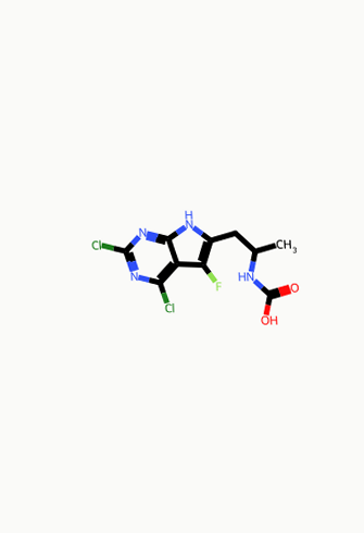 CC(Cc1[nH]c2nc(Cl)nc(Cl)c2c1F)NC(=O)O